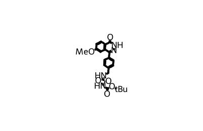 COc1ccc2c(=O)[nH]nc(-c3ccc(CNS(=O)(=O)NC(=O)OC(C)(C)C)cc3)c2c1